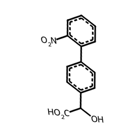 O=C(O)C(O)c1ccc(-c2ccccc2[N+](=O)[O-])cc1